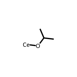 CC(C)[O][Ce]